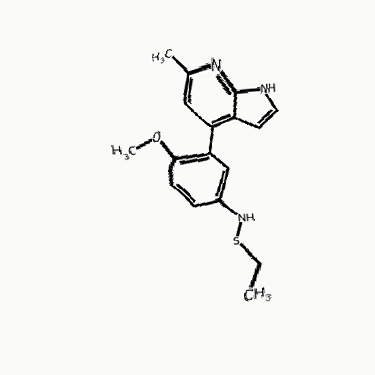 CCSNc1ccc(OC)c(-c2cc(C)nc3[nH]ccc23)c1